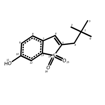 CC(C)(C)CC1=Cc2ccc(O)cc2S1(=O)=O